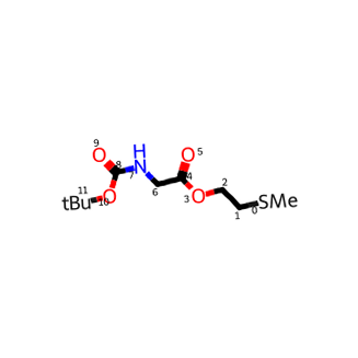 CSCCOC(=O)CNC(=O)OC(C)(C)C